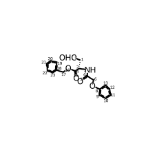 O=CC[C@H](NC(=O)COc1ccccc1)C(=O)OCc1ccccc1